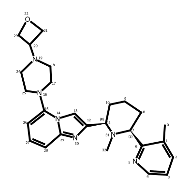 Cc1cccnc1[C@@H]1CCC[C@H](c2cn3c(N4CCN(C5COC5)CC4)cccc3n2)N1C